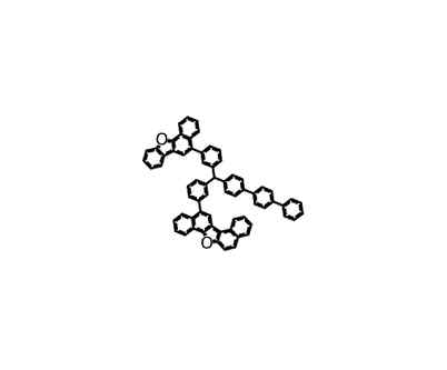 c1ccc(-c2ccc(-c3ccc(C(c4cccc(-c5cc6c7ccccc7oc6c6ccccc56)c4)c4cccc(-c5cc6c(oc7ccc8ccccc8c76)c6ccccc56)c4)cc3)cc2)cc1